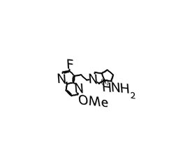 COc1ccc2ncc(F)c(CCN3CC4CCC(N)[C@H]4C3)c2n1